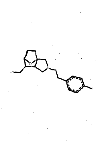 OCC1C2CCC3(CN(CCc4ccc(F)cc4)CC13)O2